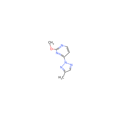 COc1nccc(-n2ncc(C)n2)n1